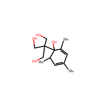 CC(C)(C)C1=CC(C(C)(C)C)C(O)(C(CO)(CO)CO)C(C(C)(C)C)=C1